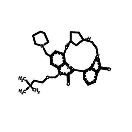 C[Si](C)(C)CCOCn1c(=O)c2nc3c(cc(CN4CCCCC4)cc31)O[C@H]1CC[C@@H](CCn3sc4c-2cccc4c3=O)C1